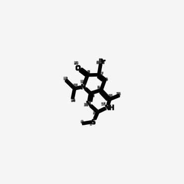 CSC1N=c2c(cc(Br)c(=O)n2C(C)C)=C(C)N1